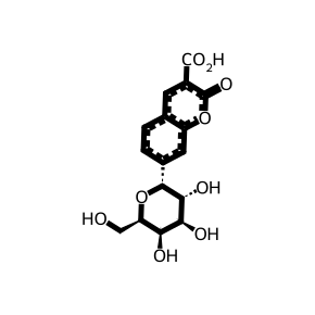 O=C(O)c1cc2ccc([C@H]3O[C@H](CO)[C@H](O)[C@H](O)[C@H]3O)cc2oc1=O